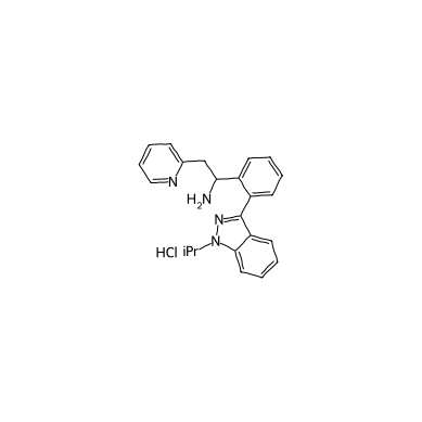 CC(C)n1nc(-c2ccccc2C(N)Cc2ccccn2)c2ccccc21.Cl